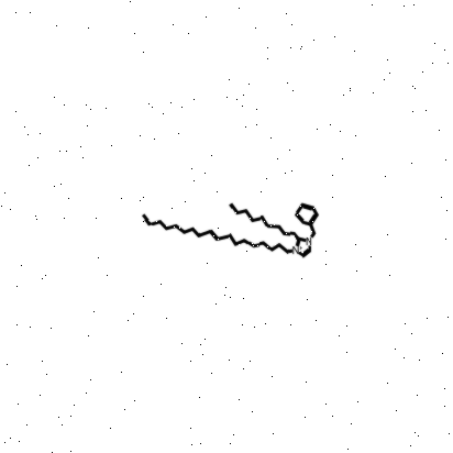 CCCCCCCCCCCCCCCCCC[n+]1ccn(Cc2ccccc2)c1CCCCCCCCC